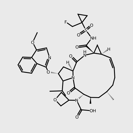 COc1cnc(O[C@@H]2C[C@H]3C(=O)N[C@]4(C(=O)NS(=O)(=O)C5(CF)CC5)C[C@H]4/C=C\CC[C@H](C)C[C@@H](C)[C@H](N(C(=O)O)C4COC4)C(=O)N3C2C(C)C)c2ccccc12